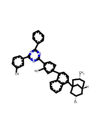 CC[C@H]1C[C@H]2C[C@@H](C)CC(c3ccc(-c4ccc(-c5nc(-c6ccccc6)nc(-c6cccc(C#N)c6)n5)c(C#N)c4)c4ccccc34)(C2)C1